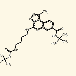 Cc1nnc2c(NCCCCNC(=O)OC(C)(C)C)nc3cc(C(=O)NC(C)(C)C)ccc3n12